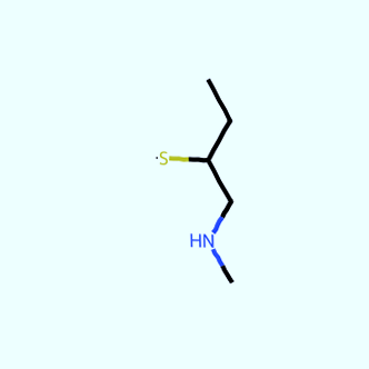 CCC([S])CNC